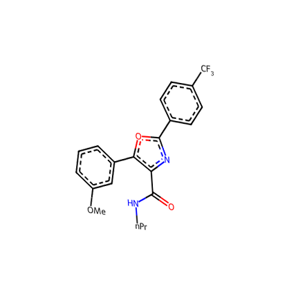 CCCNC(=O)c1nc(-c2ccc(C(F)(F)F)cc2)oc1-c1cccc(OC)c1